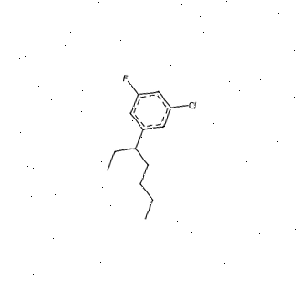 CCCCC(CC)c1cc(F)cc(Cl)c1